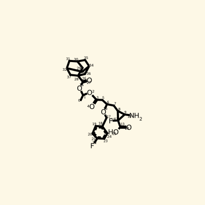 CC(OC(=O)CC(CC1C(N)C1(F)C(=O)O)OCc1ccc(F)cc1)OC(=O)C12CC3CC(CC(C3)C1)C2